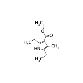 CCOC(=O)c1c(CC)[nH]c(CC)c1C